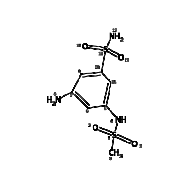 CS(=O)(=O)Nc1cc(N)cc(S(N)(=O)=O)c1